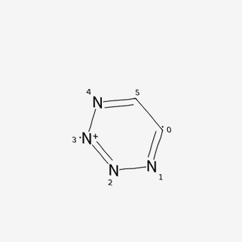 [C]1=NN=[N+]N=C1